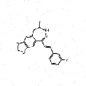 CC1Cc2cc3c(cc2C(C=Cc2cccc(Cl)c2)=NN1)OCO3